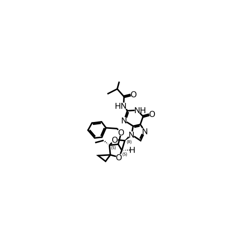 CC[C@@]12O[C@@H](n3cnc4c(=O)[nH]c(NC(=O)C(C)C)nc43)[C@@H](OC13CC3)C2OCc1ccccc1